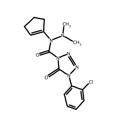 CN(C)N(C(=O)n1nnn(-c2ccccc2Cl)c1=O)C1=CCCC1